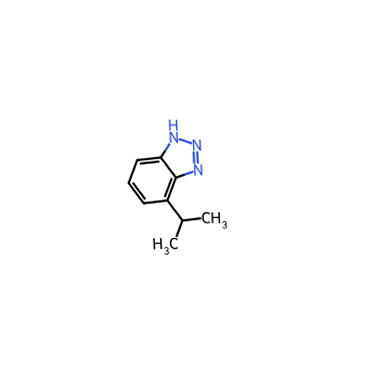 CC(C)c1cccc2[nH]nnc12